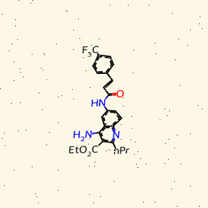 CCCc1nc2ccc(NC(=O)/C=C/c3ccc(C(F)(F)F)cc3)cc2c(N)c1C(=O)OCC